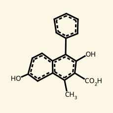 Cc1c(C(=O)O)c(O)c(-c2ccccc2)c2ccc(O)cc12